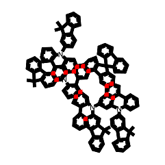 CC1(C)c2ccccc2-c2cc(N(c3cc(-c4ccc5c(c4)-c4cc(-c6cc(N(c7ccc8c(c7)C(C)(C)c7ccccc7-8)c7ccccc7-c7ccccc7)cc(N(c7ccc8c(c7)C(C)(C)c7ccccc7-8)c7ccccc7-c7ccccc7)c6)ccc4C54c5ccccc5-c5ccccc54)cc(N(c4ccc5c(c4)C(C)(C)c4ccccc4-5)c4ccccc4-c4ccccc4)c3)c3ccccc3-c3ccccc3)ccc21